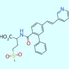 CS(=O)(=O)CCC(NC(=O)c1ccc(C=Cc2cccnc2)cc1-c1ccccc1)C(=O)O